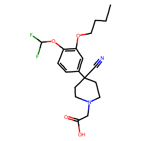 CCCCOc1cc(C2(C#N)CCN(CC(=O)O)CC2)ccc1OC(F)F